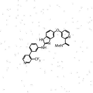 C=C(NC)c1cc(Oc2ccc3[nH]c(Nc4cccc(-c5ccncc5C(F)(F)F)c4)nc3c2)ccn1